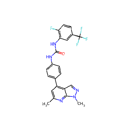 Cc1cc(-c2ccc(NC(=O)Nc3cc(C(F)(F)F)ccc3F)cc2)c2cnn(C)c2n1